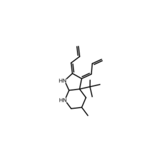 C=C/C=C1\C(=C/C=C)NC2NCC(C)CC12C(C)(C)C